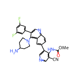 COC(=O)Nc1c(C#N)cncc1-c1ccc2ncc(-c3cc(F)cc(F)c3)c(N3CCC(N)CC3)c2c1